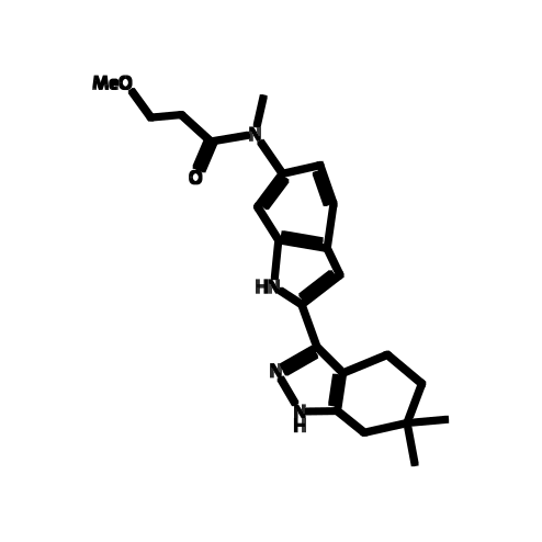 COCCC(=O)N(C)c1ccc2cc(-c3n[nH]c4c3CCC(C)(C)C4)[nH]c2c1